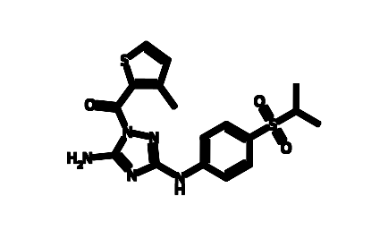 Cc1ccsc1C(=O)n1nc(Nc2ccc(S(=O)(=O)C(C)C)cc2)nc1N